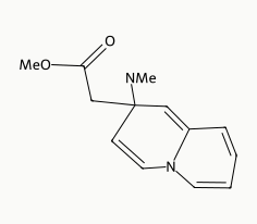 CNC1(CC(=O)OC)C=CN2C=CC=CC2=C1